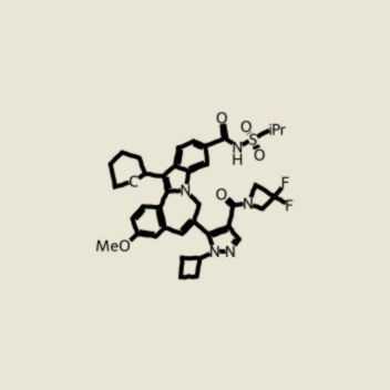 COc1ccc2c(c1)C=C(c1c(C(=O)N3CC(F)(F)C3)cnn1C1CCC1)Cn1c-2c(C2CCCCC2)c2ccc(C(=O)NS(=O)(=O)C(C)C)cc21